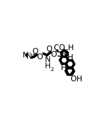 C[C@]12CC[C@@H]3c4ccc(O)cc4CC[C@H]3[C@@H]1CC[C@@H]2C(OC(=O)[C@@H](N)COC(=O)C=[N+]=[N-])C(=O)O